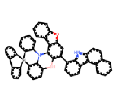 B1c2cccc3c2N(c2ccccc2[Si]32c3ccccc3-c3ccccc32)c2c1c(-c1cccc3c1[nH]c1ccc4ccccc4c13)cc1oc3ccccc3c21